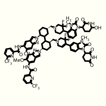 COc1cc2nn([C@H]3CC[C@H](CN4CC=C(c5ccc6c(c5)n(C)c(=O)n6C5CCC(=O)NC5=O)C(F)(F)C4)C(C4C[C@@H](CN5CCC(c6cccc7c6n(C)c(=O)n7C6CCC(O)NC6=O)C(F)(F)C5)CC[C@@H]4n4cc5cc(NC(=O)c6cccc(C(F)(F)F)n6)c(C#N)cc5n4)C3)cc2cc1NC(=O)c1cccc(C(F)(F)F)n1